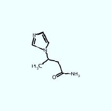 CC(CC(N)=O)n1ccnc1